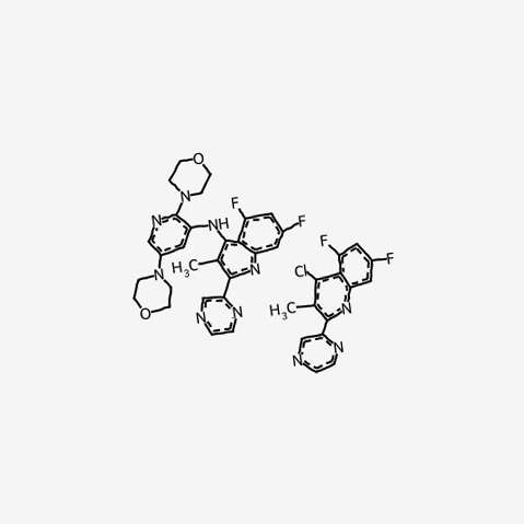 Cc1c(-c2cnccn2)nc2cc(F)cc(F)c2c1Cl.Cc1c(-c2cnccn2)nc2cc(F)cc(F)c2c1Nc1cc(N2CCOCC2)cnc1N1CCOCC1